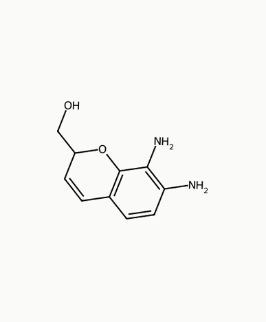 Nc1ccc2c(c1N)OC(CO)C=C2